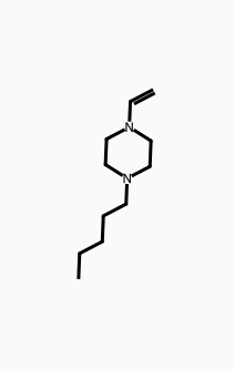 C=CN1CCN(CCCCC)CC1